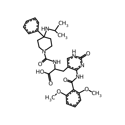 COc1cccc(OC)c1C(=O)Nc1nc(=O)[nH]cc1CC(NC(=O)N1CCC(NC(C)C)(c2ccccc2)CC1)C(=O)O